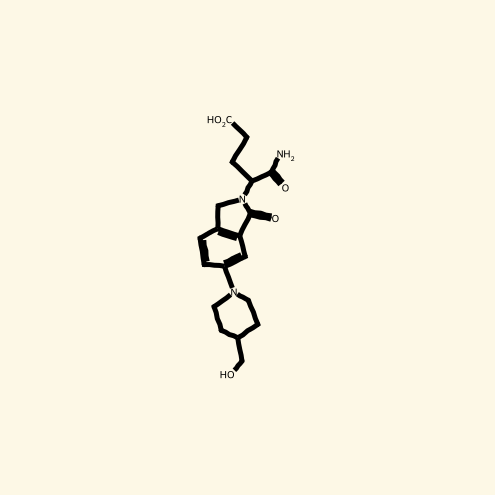 NC(=O)C(CCC(=O)O)N1Cc2ccc(N3CCC(CO)CC3)cc2C1=O